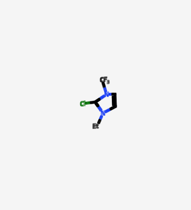 CCN1C=CN(C(F)(F)F)C1Cl